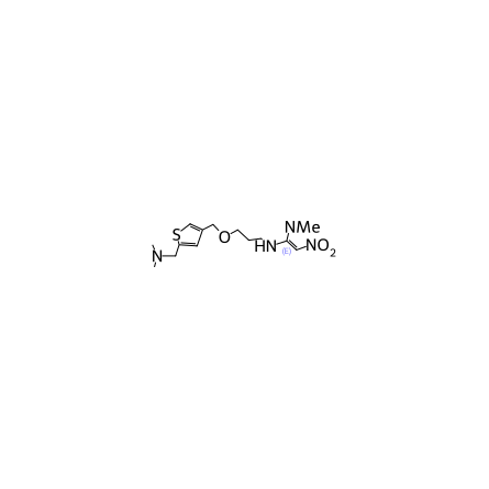 CN/C(=C\[N+](=O)[O-])NCCCOCc1csc(CN(C)C)c1